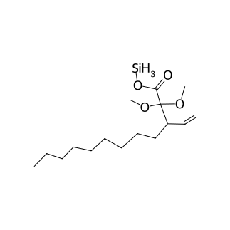 C=CC(CCCCCCCCC)C(OC)(OC)C(=O)O[SiH3]